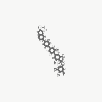 CC1Cc2ccc(-c3ccc(-c4ccc(-c5cc(F)c(C(F)(F)Oc6cc(F)c(F)c(F)c6)c(F)c5)c(F)c4)cc3)cc2C1